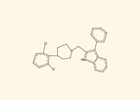 Clc1cccc(Cl)c1C1CCN(Cc2[nH]c3ccccc3c2-c2ccccc2)CC1